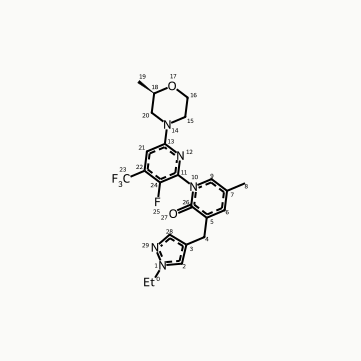 CCn1cc(Cc2cc(C)cn(-c3nc(N4CCO[C@H](C)C4)cc(C(F)(F)F)c3F)c2=O)cn1